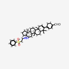 CC1(C)C(C2=CC=C(C=O)CC2)=CCC2(C)C1CCC1(C)C3CC[C@@]4(NCCS(=O)(=O)c5ccccc5)CCC[C@@H]4C3CCC12